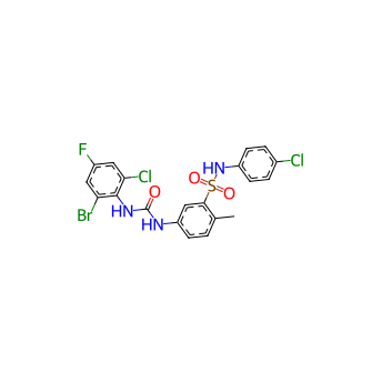 Cc1ccc(NC(=O)Nc2c(Cl)cc(F)cc2Br)cc1S(=O)(=O)Nc1ccc(Cl)cc1